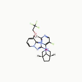 Cc1ncc(F)c(N2C[C@H]3CC[C@@H](C2)C3Nc2nc3c(OCC(F)(F)F)cccn3n2)n1